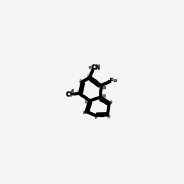 N#Cc1cc(Cl)c2ccccc2c1F